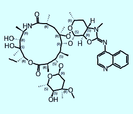 CC[C@H]1OC(=O)[C@H](C)[C@@H](O[C@H]2C[C@@](C)(OC)[C@@H](O)[C@H](C)O2)[C@H](C)[C@@H](O[C@@H]2O[C@H](C)C[C@H]3[C@H]2OC(=Nc2ccnc4ccccc24)N3C)[C@](C)(OC)C[C@@H](C)C(=O)N[C@H](C)[C@@H](O)[C@]1(C)O